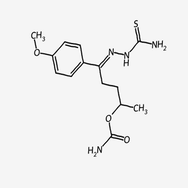 COc1ccc(C(CCC(C)OC(N)=O)=NNC(N)=S)cc1